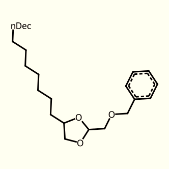 CCCCCCCCCCCCCCCCCC1COC(COCc2ccccc2)O1